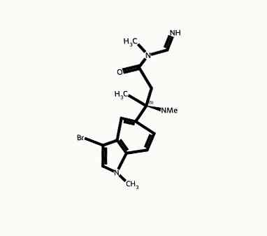 CN[C@@](C)(CC(=O)N(C)C=N)c1ccc2c(c1)c(Br)cn2C